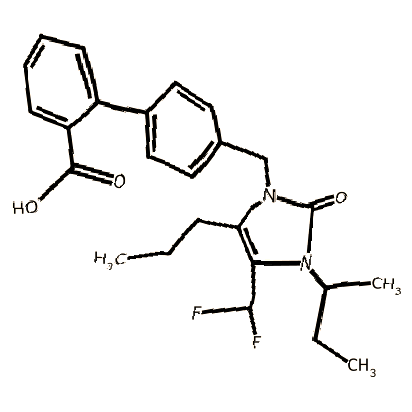 CCCc1c(C(F)F)n(C(C)CC)c(=O)n1Cc1ccc(-c2ccccc2C(=O)O)cc1